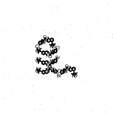 Cc1noc(C)c1-c1ccc2c(c1)C(C)N(C(=O)c1cc3ccc(Cl)cn3n1)CC2.Cc1noc(C)c1-c1ccc2c(c1)CCN(C(=O)c1cc3ccc(Br)cn3n1)C2C.Cc1noc(C)c1-c1ccc2c(c1)CCN(C(=O)c1cc3ccc(Cl)cn3n1)C2C.Cc1noc(C)c1-c1cccc2c1CCN(C(=O)c1cc3ccc(Br)cn3n1)C2C.Cc1noc(C)c1-c1cccc2c1CCN(C(=O)c1cc3ccc(Cl)cn3n1)C2C